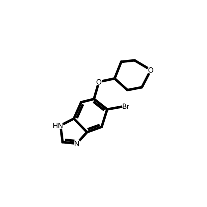 Brc1cc2nc[nH]c2cc1OC1CCOCC1